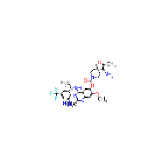 COc1cc2nc(C)nc(N[C@H](C)c3cc(N)cc(C(F)(F)F)c3)c2cc1OC(=O)N1CCC2(CC1)CO[C@H](C)[C@@H]2N